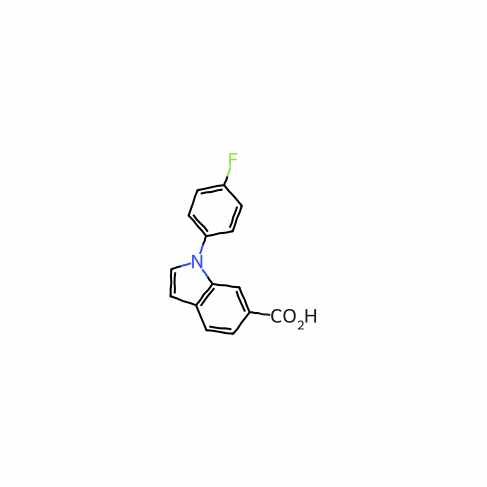 O=C(O)c1ccc2ccn(-c3ccc(F)cc3)c2c1